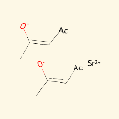 CC(=O)C=C(C)[O-].CC(=O)C=C(C)[O-].[Sr+2]